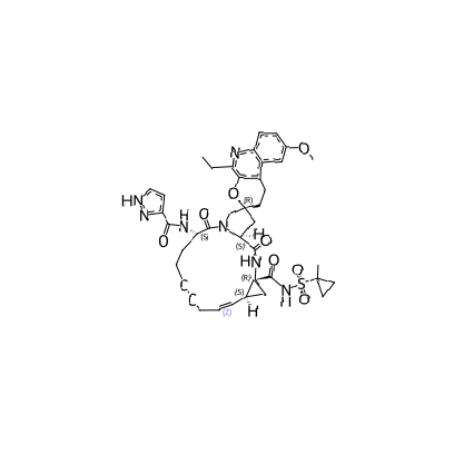 CCc1nc2ccc(OC)cc2c2c1O[C@]1(CC2)C[C@H]2C(=O)N[C@]3(C(=O)NS(=O)(=O)C4(C)CC4)C[C@H]3/C=C\CCCCC[C@H](NC(=O)c3cc[nH]n3)C(=O)N2C1